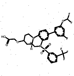 O=C(O)COC1CCN2c3ccc(-c4cc(F)cc(OC(F)F)c4)cc3N(S(=O)(=O)c3cccc(C(F)(F)F)c3)C[C@@H]2C1